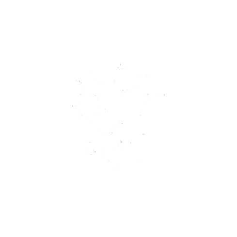 CO/C(=N\C(=N)c1cnc2ccc(/C(=C/N)C(=N)c3c(F)cccc3F)cn12)C(F)F